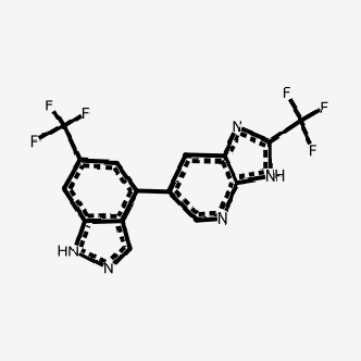 FC(F)(F)c1cc(-c2cnc3[nH]c(C(F)(F)F)nc3c2)c2cn[nH]c2c1